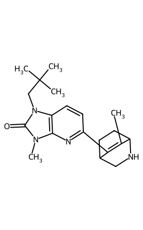 CC1=C(c2ccc3c(n2)n(C)c(=O)n3CC(C)(C)C)C2CCC1NC2